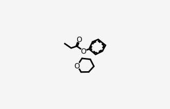 C1CCOCC1.CCC(=O)Oc1ccccc1